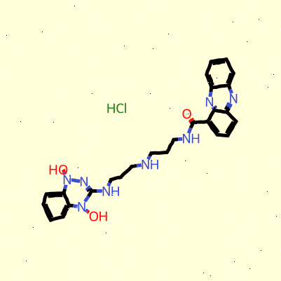 Cl.O=C(NCCCNCCCNC1=NN(O)c2ccccc2N1O)c1cccc2nc3ccccc3nc12